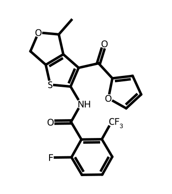 CC1OCc2sc(NC(=O)c3c(F)cccc3C(F)(F)F)c(C(=O)c3ccco3)c21